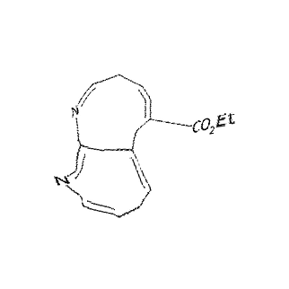 CCOC(=O)c1ccnc2ncccc12